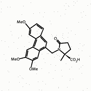 COc1ccc2cc(CN3C(=O)CC[C@@]3(C)C(=O)O)c3cc(OC)c(OC)cc3c2c1